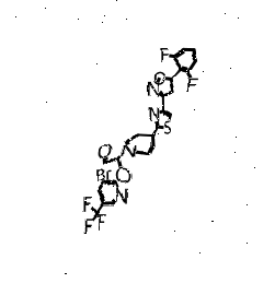 O=CC(Oc1ncc(C(F)(F)F)cc1Br)N1CCC(c2nc(C3=NO[C@@H](c4c(F)cccc4F)C3)cs2)CC1